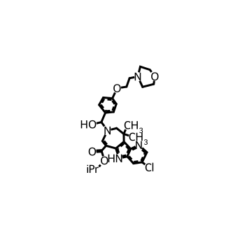 CC(C)OC(=O)C1=CN(C(O)c2ccc(OCCN3CCOCC3)cc2)CC(C)(C)c2c1[nH]c1cc(Cl)cnc21